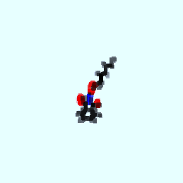 CCCCCCON1C(=O)c2ccccc2C1=O